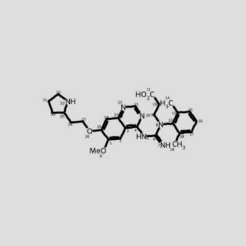 COc1cc2c(NC(=N)N(CCC(=O)O)c3c(C)cccc3C)ncnc2cc1OCCC1CCCN1